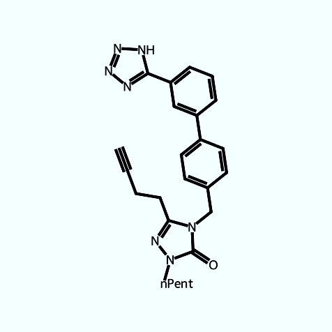 C#CCCc1nn(CCCCC)c(=O)n1Cc1ccc(-c2cccc(-c3nnn[nH]3)c2)cc1